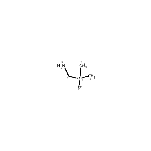 CC[Si](C)(C)CN